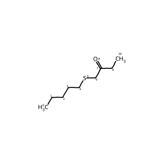 CCCCCSCC(=O)CC